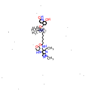 CCc1nc2c(cnn2CC)c(NC2CCOCC2)c1CNC(=O)CCCCCCCNC[C@H](O[Si](C)(C)C(C)(C)C)c1ccc(O)c2[nH]c(=O)ccc12